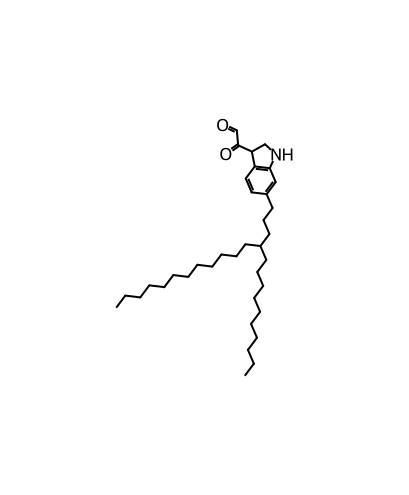 CCCCCCCCCCCCC(CCCCCCCCCC)CCCc1ccc2c(c1)NCC2C(=O)C=O